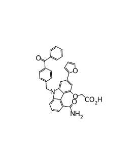 NC(=O)c1cccc2c1c1c(OCC(=O)O)cc(-c3ccco3)cc1n2Cc1ccc(C(=O)c2ccccc2)cc1